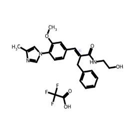 COc1cc(/C=C(\Cc2ccccc2)C(=O)NCCO)ccc1-n1cnc(C)c1.O=C(O)C(F)(F)F